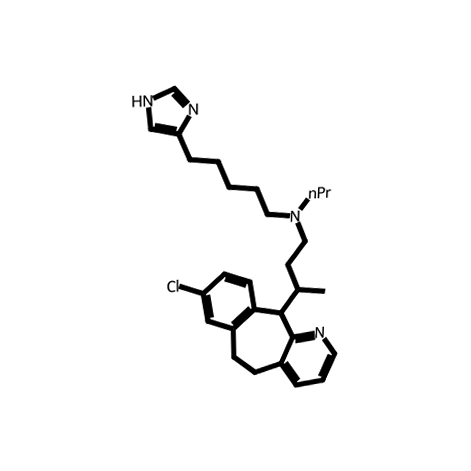 CCCN(CCCCCc1c[nH]cn1)CCC(C)C1c2ccc(Cl)cc2CCc2cccnc21